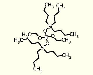 CCCC[Si](CCCC)(CCCC)[O][Ti]([O]CC)([O]CC)[O][Si](CCCC)(CCCC)CCCC